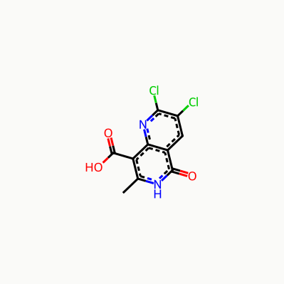 Cc1[nH]c(=O)c2cc(Cl)c(Cl)nc2c1C(=O)O